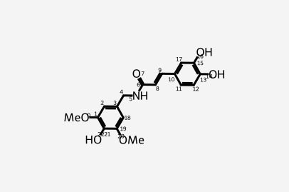 COc1cc(CNC(=O)/C=C/c2ccc(O)c(O)c2)cc(OC)c1O